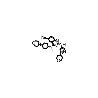 N#Cc1ccc2nc(Nc3cnn(C4CCOCC4)c3)nc(NC3CCC(N4CCOCC4)CC3)c2c1